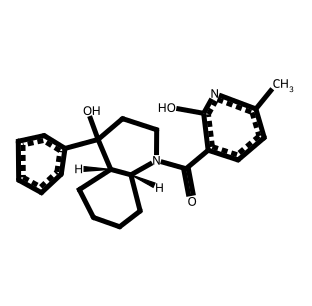 Cc1ccc(C(=O)N2CCC(O)(c3ccccc3)[C@H]3CCCC[C@H]32)c(O)n1